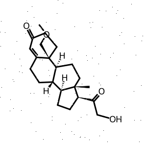 COC[C@]12CCC(=O)C=C1CC[C@@H]1[C@@H]2CC[C@]2(C)[C@@H](C(=O)CO)CC[C@@H]12